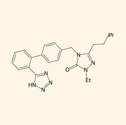 CCn1nc(CCC(C)C)n(Cc2ccc(-c3ccccc3-c3nnn[nH]3)cc2)c1=O